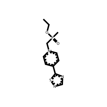 CCOP(C)(=O)C[n+]1ccc(-c2ncns2)cc1